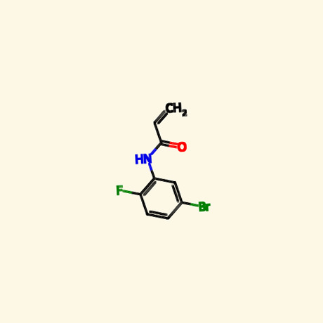 C=CC(=O)Nc1cc(Br)ccc1F